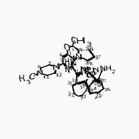 C[C@H](Oc1cc(N2CCN(C)CC2)nc(-c2noc3c2CCC[C@@]32CCCc3sc(N)c(C#N)c32)n1)[C@@H]1CCCN1C